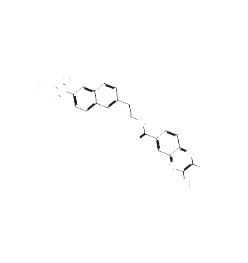 O=C(NCCc1ccc2cc(S(=O)(=O)O)ccc2c1)c1ccc2nc(Cl)c(Cl)nc2c1